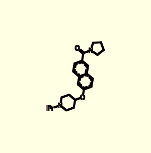 CC(C)N1CCC(Oc2ccc3cc(C(=O)N4CCCC4)ccc3c2)CC1